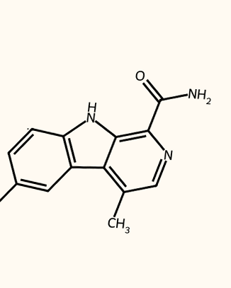 Cc1cnc(C(N)=O)c2[nH]c3[c]cc(Cl)cc3c12